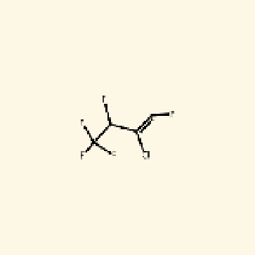 FC=C(Cl)C(F)C(F)(F)F